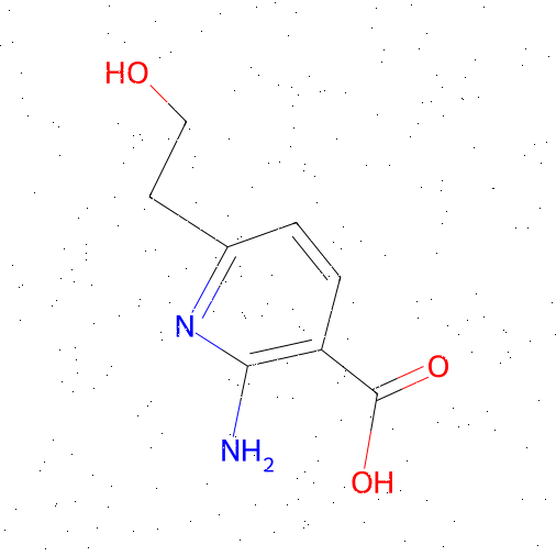 Nc1nc(CCO)ccc1C(=O)O